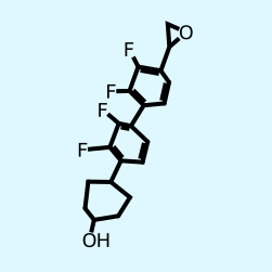 OC1CCC(c2ccc(-c3ccc(C4CO4)c(F)c3F)c(F)c2F)CC1